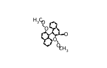 COCOc1ccc2ccccc2c1-c1c(OCOC)c(C=O)cc2ccccc12